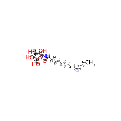 CCCC/C=C\CCCCCCCCCCCC(=O)N[C@@H]1O[C@H](CO)[C@@H](O)[C@H](O)[C@H]1O